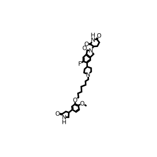 COc1ccc(C2CNC(=O)C2)cc1OCCCCCCCN1CCC(c2cc3c(cc2F)C(=O)N(C2CCC(=O)NC2=O)C3)CC1